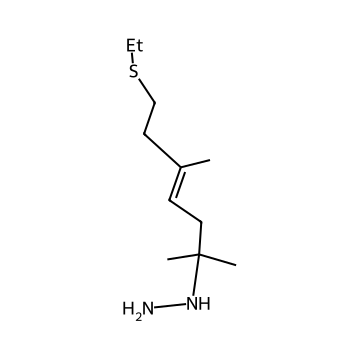 CCSCC/C(C)=C/CC(C)(C)NN